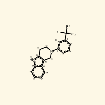 FC(F)(F)c1ccnc(N2CCc3[nH]c4ccccc4c3C2)n1